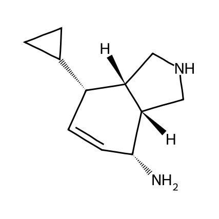 N[C@@H]1C=C[C@H](C2CC2)[C@@H]2CNC[C@@H]21